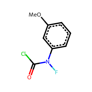 COc1cccc(N(F)C(=O)Cl)c1